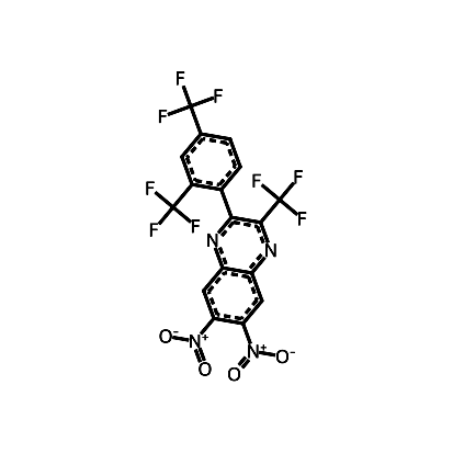 O=[N+]([O-])c1cc2nc(-c3ccc(C(F)(F)F)cc3C(F)(F)F)c(C(F)(F)F)nc2cc1[N+](=O)[O-]